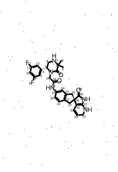 CC1(C)NC[C@@H](c2cc(F)cc(F)c2)N(CC(=O)Nc2ccc3c(c2)C[C@@]2(C3)C(=O)NC3=C2C=CCN3)C1=O